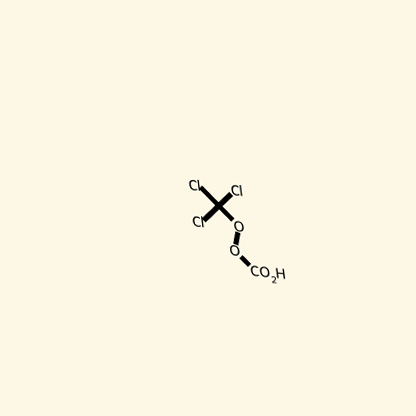 O=C(O)OOC(Cl)(Cl)Cl